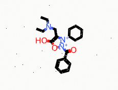 CCN(CC)Cc1c(O)o[n+](C(=O)c2ccccc2)[n+]1C1CCCCC1